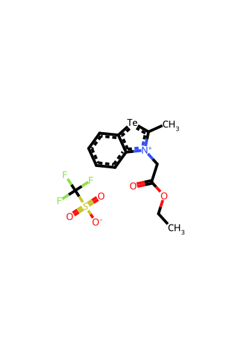 CCOC(=O)C[n+]1c(C)[te]c2ccccc21.O=S(=O)([O-])C(F)(F)F